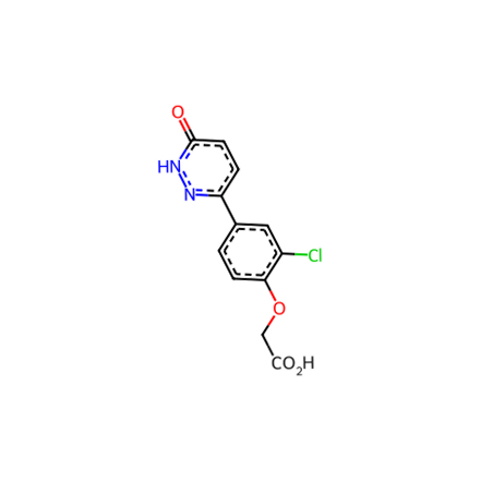 O=C(O)COc1ccc(-c2ccc(=O)[nH]n2)cc1Cl